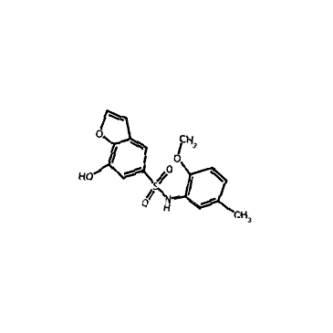 COc1ccc(C)cc1NS(=O)(=O)c1cc(O)c2occc2c1